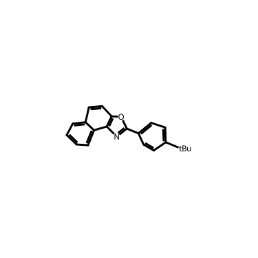 CC(C)(C)c1ccc(-c2nc3c(ccc4ccccc43)o2)cc1